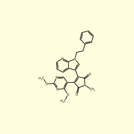 COc1ncc(C2=C(c3cn(CCc4ccccc4)c4ncccc34)C(=O)N(C)C2=O)c(OC)n1